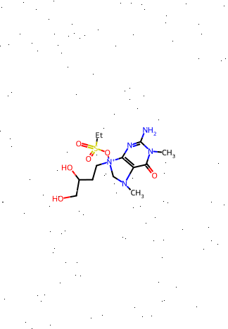 CCS(=O)(=O)O[N+]1(CCC(O)CO)CN(C)c2c1nc(N)n(C)c2=O